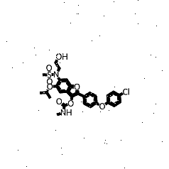 CNC(=O)Oc1c(-c2ccc(Oc3ccc(Cl)cc3)cc2)oc2cc(N(CCO)S(C)(=O)=O)c(OC(C)C)cc12